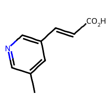 Cc1cncc(C=CC(=O)O)c1